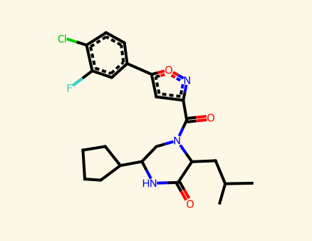 CC(C)CC1C(=O)NC(C2CCCC2)CN1C(=O)c1cc(-c2ccc(Cl)c(F)c2)on1